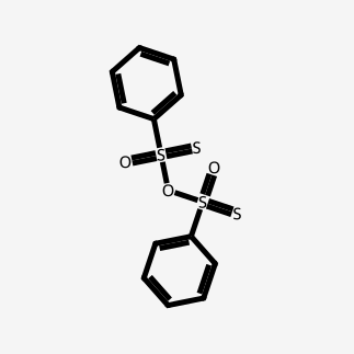 O=S(=S)(OS(=O)(=S)c1ccccc1)c1ccccc1